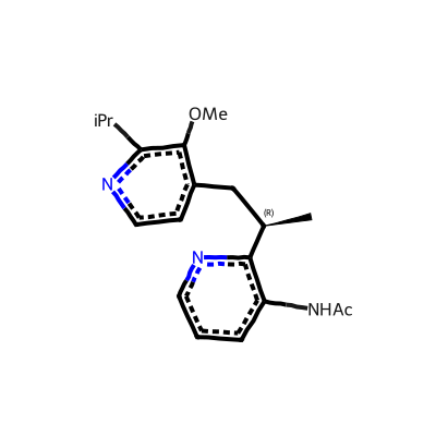 COc1c(C[C@@H](C)c2ncccc2NC(C)=O)ccnc1C(C)C